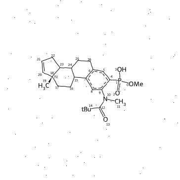 COP(=O)(O)c1cc2c(cc1N(C)C(=O)C(C)(C)C)C1CC[C@]3(C)C=CCC3C1CC2